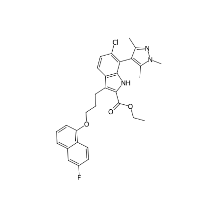 CCOC(=O)c1[nH]c2c(-c3c(C)nn(C)c3C)c(Cl)ccc2c1CCCOc1cccc2cc(F)ccc12